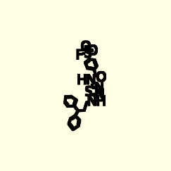 O=C(Nc1nnc(NCCC(c2ccccc2)c2ccccc2)s1)c1ccc(S(=O)(=O)F)cc1